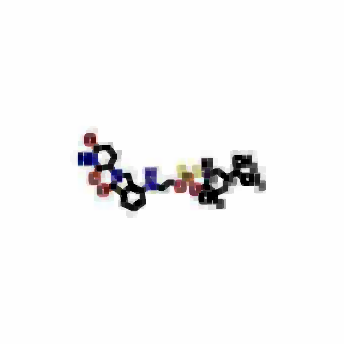 C=C(C)[C@H]1CC[C@@]2(C)O[P@](=S)(OCCNc3cccc4c3CN(C3CCC(=O)NC3=O)C4=O)S[C@@H]2C1